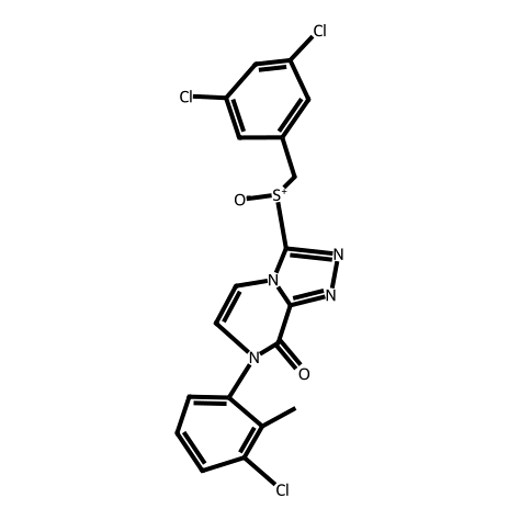 Cc1c(Cl)cccc1-n1ccn2c([S+]([O-])Cc3cc(Cl)cc(Cl)c3)nnc2c1=O